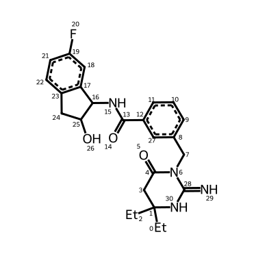 CCC1(CC)CC(=O)N(Cc2cccc(C(=O)NC3c4cc(F)ccc4CC3O)c2)C(=N)N1